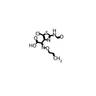 C=CCO/N=C(/C(=O)O)c1nc(NC=O)sc1Cl